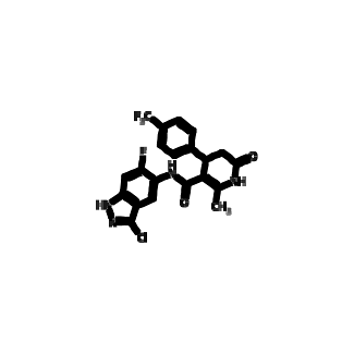 CC1=C(C(=O)Nc2cc3c(Cl)n[nH]c3cc2F)C(c2ccc(C(F)(F)F)cc2)CC(=O)N1